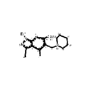 CCn1nc(C)c2c(C)c(CN3CCCCC3)c(O)nc21